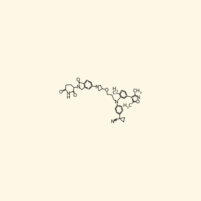 Cc1ccc(-c2c(C)noc2C)cc1N(CCCOC1CN(c2ccc3c(c2)CN(C2CCC(=O)NC2=O)C3=O)C1)c1ccc(C2(C#N)CC2)cc1